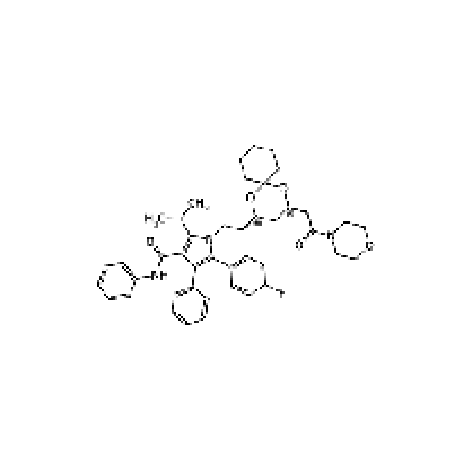 CC(C)c1c(C(=O)Nc2ccccc2)c(-c2ccccc2)c(-c2ccc(F)cc2)n1CC[C@@H]1C[C@H](CC(=O)N2CCOCC2)OC2(CCCCC2)O1